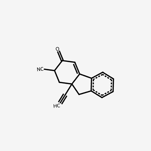 C#CC12Cc3ccccc3C1=CC(=O)C(C#N)C2